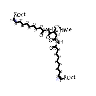 CCCCCCCC/C=C\CCCCCCCC(=O)NC(=O)CC(C)C(=O)NC(=O)CCCCCCC/C=C\CCCCCCCC.CNC